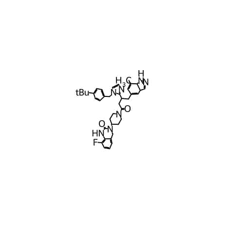 CC1=CC(CC(CC(=O)N2CCC(N3Cc4cccc(F)c4NC3=O)CC2)c2nccn2Cc2ccc(C(C)(C)C)cc2)=CC2C=NNC12